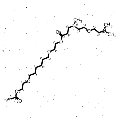 CCCC(=O)OCCOCCCCCCOCCOC(=O)CCN(C)CCOCCN(C)C